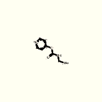 CC(C)(C)CBC(=O)Oc1ccncc1